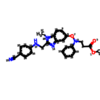 COC(=O)CCN(Oc1ccc2c(c1)nc(CNc1ccc(C#N)cc1)n2C)c1ccccc1